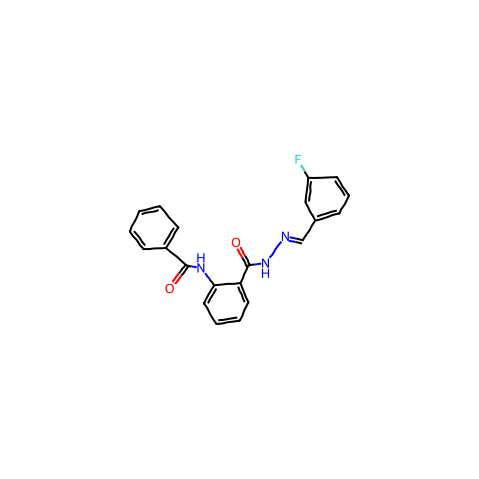 O=C(Nc1ccccc1C(=O)N/N=C/c1cccc(F)c1)c1ccccc1